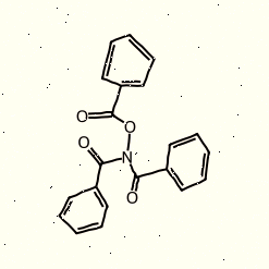 O=C(ON(C(=O)c1ccccc1)C(=O)c1ccccc1)c1ccccc1